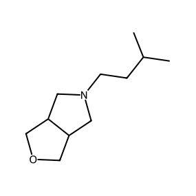 CC(C)CCN1CC2COCC2C1